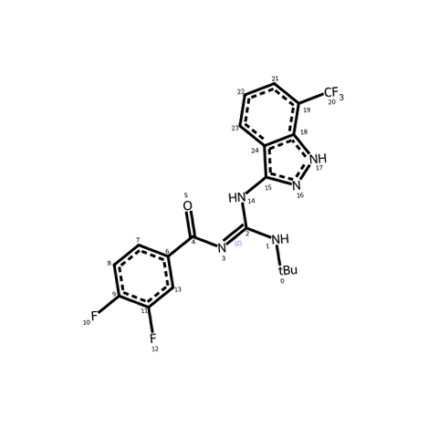 CC(C)(C)N/C(=N/C(=O)c1ccc(F)c(F)c1)Nc1n[nH]c2c(C(F)(F)F)cccc12